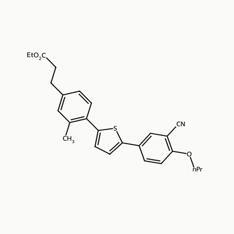 CCCOc1ccc(-c2ccc(-c3ccc(CCC(=O)OCC)cc3C)s2)cc1C#N